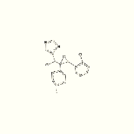 Fc1ccc(C2(C(Cl)n3cncn3)OC2c2ccccc2Cl)cc1